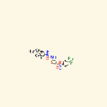 CC(C)(C)c1ccc(NC(=O)Nc2cc(S(=O)(=O)Nc3ccc(C(F)(F)F)cc3)cs2)cc1